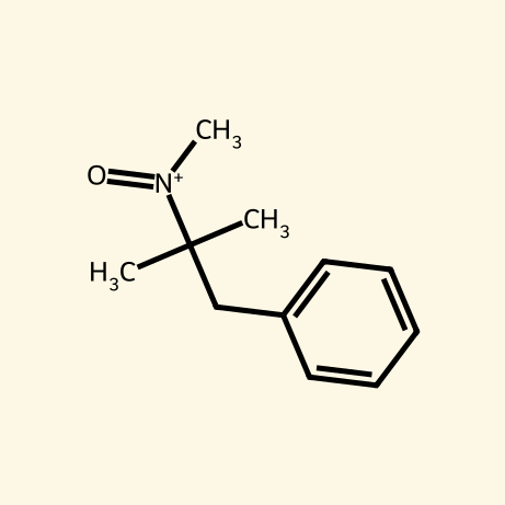 C[N+](=O)C(C)(C)Cc1ccccc1